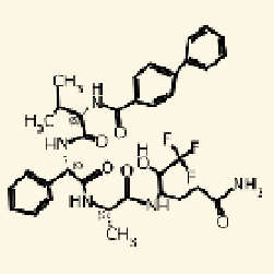 CC(C)[C@H](NC(=O)c1ccc(-c2ccccc2)cc1)C(=O)N[C@H](C(=O)N[C@@H](C)C(=O)NC(CCC(N)=O)C(O)C(F)(F)F)c1ccccc1